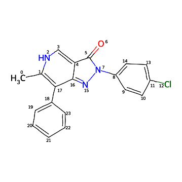 Cc1[nH]cc2c(=O)n(-c3ccc(Cl)cc3)nc-2c1-c1ccccc1